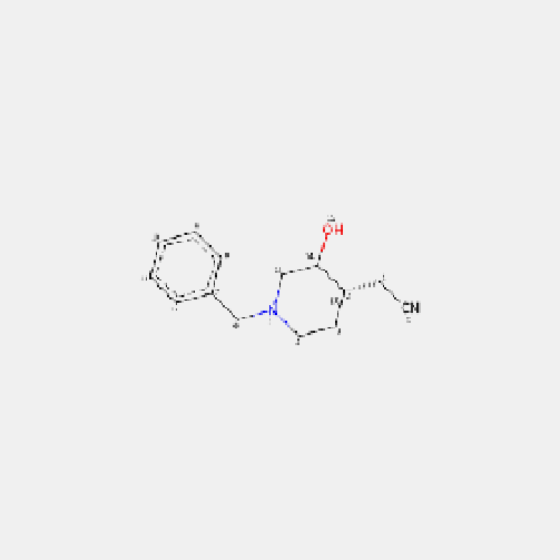 N#CC[C@@H]1CCN(Cc2ccccc2)CC1O